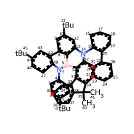 CC(C)(C)c1ccc(N2B3c4c(cc(C(C)(C)C)cc4N(c4ccccc4-c4ccccc4)c4ccc5c(c43)-c3ccccc3C5(C)C)-c3cc(C(C)(C)C)ccc32)cc1